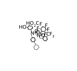 O=C(O)c1ccc(N(Cc2ccc(C3CCCCC3)cc2)C(=O)CN(Cc2cccc(C(F)(F)F)c2)S(=O)(=O)c2c(F)c(F)c(F)c(F)c2F)cc1O